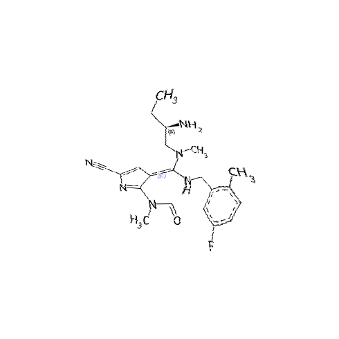 CC[C@@H](N)CN(C)/C(NCc1cc(F)ccc1C)=C1\C=C(C#N)N=C1N(C)C=O